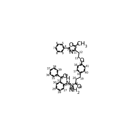 Cc1oc(-c2ccccc2)nc1CCOc1ccc(CCC(=O)N(N)Nc2ccccc2C(=O)c2ccccc2)cc1